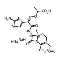 CC(=O)OCC1=C(C(=O)O)N2C(=O)[C@@H](NC(=O)/C(=N\OC(C)C(=O)O)c3c[se]c(N)n3)[C@H]2SC1.[NaH].[NaH]